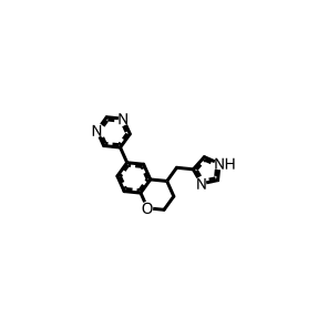 c1ncc(-c2ccc3c(c2)C(Cc2c[nH]cn2)CCO3)cn1